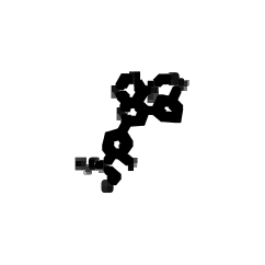 CN(C=O)c1ccc(-c2cc(-c3cccc(Br)c3)c3c(NC=O)ncnc3n2)cc1F